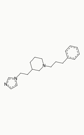 c1ccc(CCCN2CCCC(CCn3ccnc3)C2)cc1